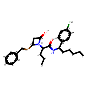 CCCCCC(NC(=O)C(CCC)N1C(=O)CC1SCc1ccccc1)c1ccc(F)cc1